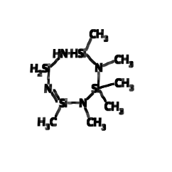 CN1/[Si](C)=N\[SiH2]N[SiH](C)N(C)[Si]1(C)C